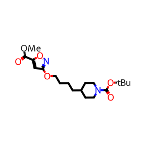 COC(=O)c1cc(OCCCCC2CCN(C(=O)OC(C)(C)C)CC2)no1